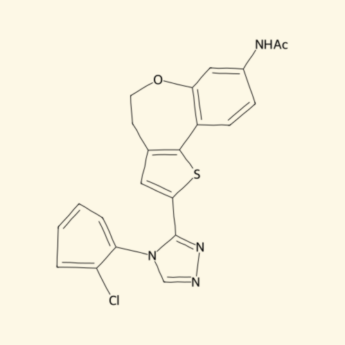 CC(=O)Nc1ccc2c(c1)OCCc1cc(-c3nncn3-c3ccccc3Cl)sc1-2